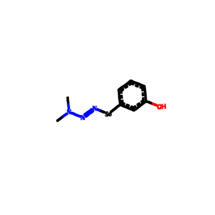 CN(C)N=N[Se]c1cccc(O)c1